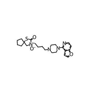 O=C1SC2(CCCC2)C[N+]1([O-])CCCCN1CCN(c2nccc3occc23)CC1